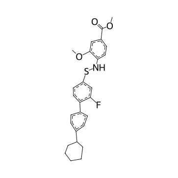 COC(=O)c1ccc(NSc2ccc(-c3ccc(C4CCCCC4)cc3)c(F)c2)c(OC)c1